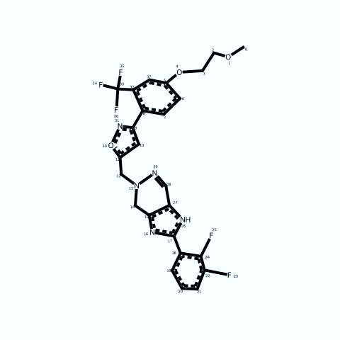 COCCOc1ccc(-c2cc(CN3Cc4nc(-c5cccc(F)c5F)[nH]c4C=N3)on2)c(C(F)(F)F)c1